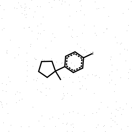 CC1(c2ccc(I)cc2)CCCC1